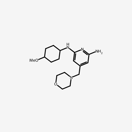 COC1CCC(Nc2cc(CN3CCOCC3)cc(N)n2)CC1